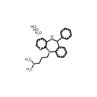 CN(C)CCCN1c2ccccc2C(c2ccccc2)Nc2cccnc21.Cl.Cl.O